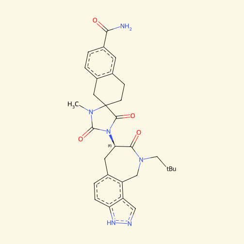 CN1C(=O)N([C@@H]2Cc3ccc4[nH]ncc4c3CN(CC(C)(C)C)C2=O)C(=O)C12CCc1cc(C(N)=O)ccc1C2